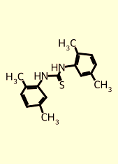 Cc1ccc(C)c(NC(=S)Nc2cc(C)ccc2C)c1